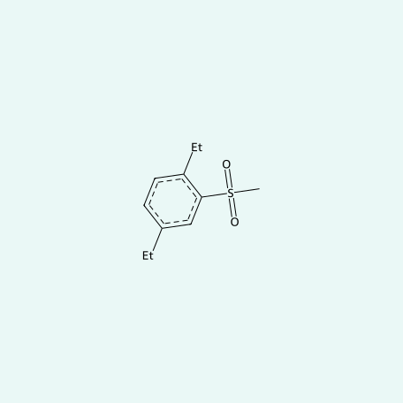 CCc1ccc(CC)c(S(C)(=O)=O)c1